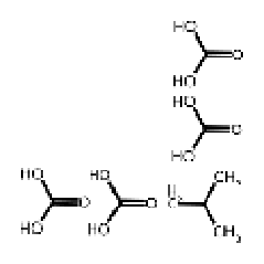 CC(C)C.O=C(O)O.O=C(O)O.O=C(O)O.O=C(O)O